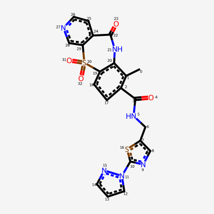 Cc1c(C(=O)NCc2cnc(-n3cccn3)s2)ccc2c1NC(=O)c1ccncc1S2(=O)=O